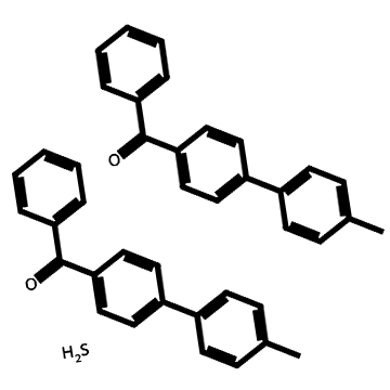 Cc1ccc(-c2ccc(C(=O)c3ccccc3)cc2)cc1.Cc1ccc(-c2ccc(C(=O)c3ccccc3)cc2)cc1.S